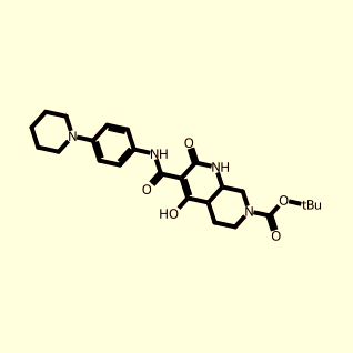 CC(C)(C)OC(=O)N1CCC2C(O)=C(C(=O)Nc3ccc(N4CCCCC4)cc3)C(=O)NC2C1